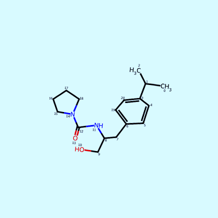 CC(C)c1ccc(CC(CO)NC(=O)N2CCCC2)cc1